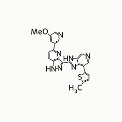 COc1cncc(-c2ccc3[nH]nc(-c4nc5c(-c6ccc(C)s6)cncc5[nH]4)c3n2)c1